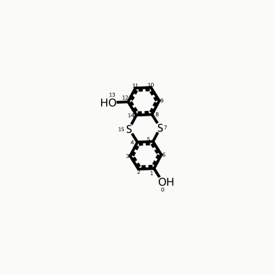 Oc1ccc2c(c1)Sc1cccc(O)c1S2